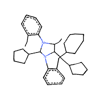 Cc1ccccc1N1C(C)C2N(c3ccccc3C2(C2CCCCC2)C2CCCC2)C1C1CCCC1